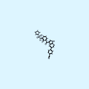 N#Cc1ccc(-c2cnc3[nH]cc(C(=O)c4cccc(NS(=O)(=O)N5CCCC5)c4F)c3c2)cc1